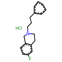 Cl.Fc1ccc2c(c1)CCN(CCCc1ccccc1)C2